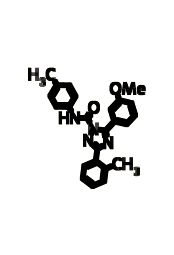 COc1cccc(-c2nc(-c3ccccc3C)nn2C(=O)Nc2ccc(C)cc2)c1